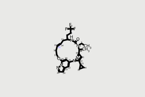 CCN1C(=O)NC(CCC(F)(F)F)C/C=C/CCOc2cc(cc3ccnn23)-n2nc(cc2C2CC2)C1C